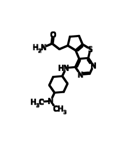 CN(C)C1CCC(Nc2ncnc3sc4c(c23)C(CC(N)=O)CC4)CC1